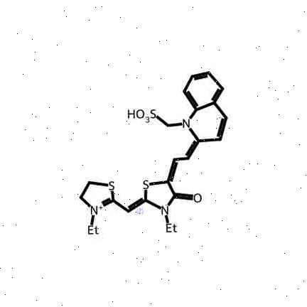 CCn1c(=O)c(=CC=C2C=Cc3ccccc3N2CS(=O)(=O)O)s/c1=C\C1=[N+](CC)CCS1